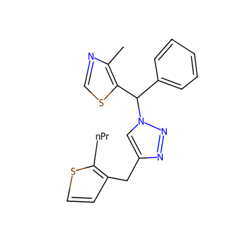 CCCc1sccc1Cc1cn(C(c2ccccc2)c2scnc2C)nn1